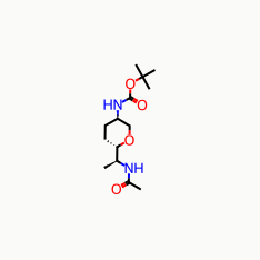 CC(=O)N[C@@H](C)[C@@H]1CC[C@@H](NC(=O)OC(C)(C)C)CO1